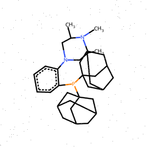 CC1CN(c2ccccc2P(C23CC4CC(CC(C4)C2)C3)C23CC4CC(CC(C4)C2)C3)CC(C)N1C